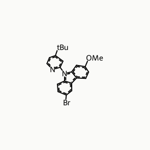 COc1ccc2c3cc(Br)ccc3n(-c3cc(C(C)(C)C)ccn3)c2c1